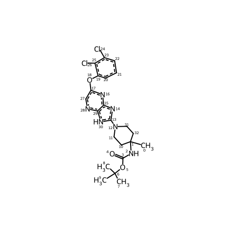 CC1(NC(=O)OC(C)(C)C)CCN(c2nc3nc(Oc4cccc(Cl)c4Cl)cnc3[nH]2)CC1